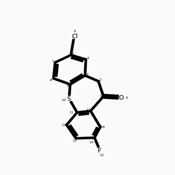 O=C1Cc2cc(Cl)ccc2Sc2ccc(F)cc21